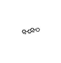 c1ccc(-c2ccc3nc(N4CCCCC4)ccc3c2)nc1